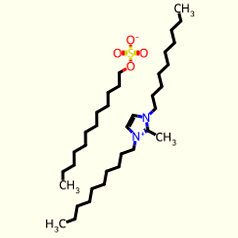 CCCCCCCCCCCCOS(=O)(=O)[O-].CCCCCCCCCCn1cc[n+](CCCCCCCCCC)c1C